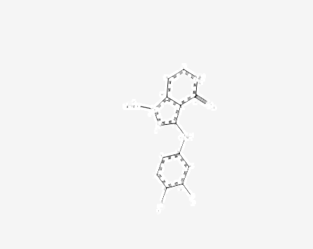 CCCCCCn1nc(Nc2ccc(Cl)c(F)c2)c2c(=O)[nH]ccc21